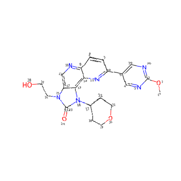 COc1ncc(-c2ccc3ncc4c(c3n2)n(C2CCOCC2)c(=O)n4CCO)cn1